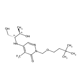 C[C@@H](O)[C@@H](CO)Nc1cnn(COCC[Si](C)(C)C)c(=O)c1C(F)(F)F